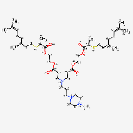 CC(C)=CCCC(C)CCSC(C)C(=O)OCCOC(=O)CCN(CCCN1CCN(C)CC1)CCC(=O)OCCOC(=O)C(C)SCCC(C)CCC=C(C)C